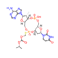 CC(C)OC(=O)OCSP1(=O)OC[C@H]2O[C@@H](n3cnc4c(N)ncnc43)[C@H](C)[C@@H]2OP(=O)(O)OC[C@H]2O[C@@H](n3ccc(=O)[nH]c3=O)C[C@@H]2O1